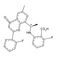 Cc1cc([C@@H](C)Nc2cccc(F)c2C(=O)O)c2oc(-c3ccccc3F)cc(=O)c2c1